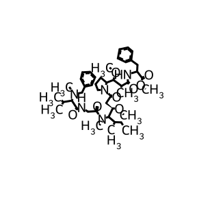 CCC(C)C([C@@H](CC(=O)N1CCCC1C(OC)C(C)C(=O)NC(Cc1ccccc1)C(=O)OC)OC)N(C)C(=O)CNC(=O)C(C(C)C)N(C)Cc1ccccc1